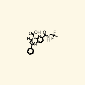 O=C(NCC(F)(F)F)c1ccc2c(n1)N(C(=O)O)[C@H]1CC(c3ccccc3)N2C1